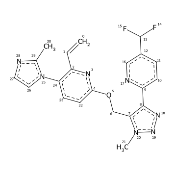 C=Cc1nc(OCc2c(-c3ccc(C(F)F)cn3)nnn2C)ccc1-n1ccnc1C